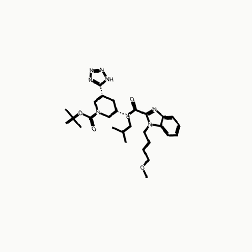 COCCCCn1c(C(=O)N(CC(C)C)[C@H]2C[C@@H](c3nnn[nH]3)CN(C(=O)OC(C)(C)C)C2)nc2ccccc21